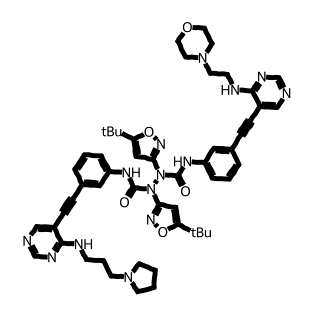 CC(C)(C)c1cc(N(C(=O)Nc2cccc(C#Cc3cncnc3NCCCN3CCCC3)c2)N(C(=O)Nc2cccc(C#Cc3cncnc3NCCN3CCOCC3)c2)c2cc(C(C)(C)C)on2)no1